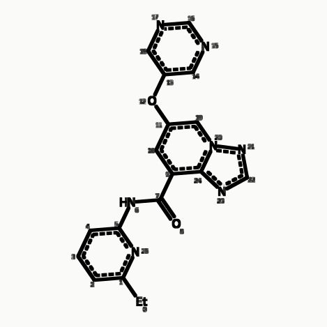 CCc1cccc(NC(=O)c2cc(Oc3cncnc3)cn3ncnc23)n1